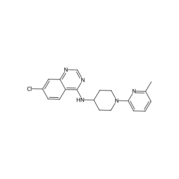 Cc1cccc(N2CCC(Nc3ncnc4cc(Cl)ccc34)CC2)n1